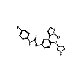 CCn1nccc1-c1cc(NC(=O)Nc2ccc(F)cc2)ccc1OC1CCNC1